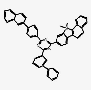 C[Si]1(C)c2cc(-c3nc(-c4ccc(-c5ccc6ccccc6c5)cc4)nc(-c4cccc(-c5ccccc5)c4)n3)ccc2-c2ccc3ccccc3c21